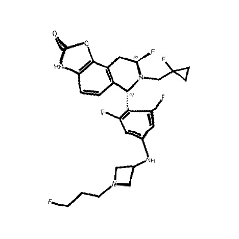 O=c1[nH]c2ccc3c(c2o1)C[C@@H](F)N(CC1(F)CC1)[C@@H]3c1c(F)cc(NC2CN(CCCF)C2)cc1F